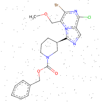 COCc1c(Br)nc(Cl)c2cnc([C@@H]3CCCN(C(=O)OCc4ccccc4)C3)n12